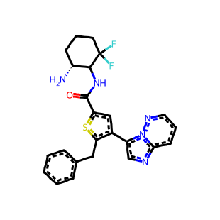 N[C@@H]1CCCC(F)(F)C1NC(=O)c1cc(-c2cnc3cccnn23)c(Cc2ccccc2)s1